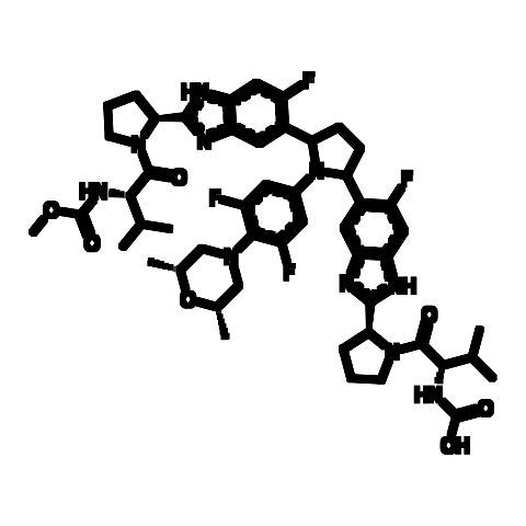 COC(=O)N[C@H](C(=O)N1CCC[C@H]1c1nc2cc(C3CCC(c4cc5nc([C@@H]6CCCN6C(=O)[C@@H](NC(=O)O)C(C)C)[nH]c5cc4F)N3c3cc(F)c(N4C[C@@H](C)O[C@@H](C)C4)c(F)c3)c(F)cc2[nH]1)C(C)C